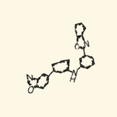 c1cc(Nc2cccc(-c3nc4ccccc4o3)c2)cc(-c2ccc3ocnc3c2)c1